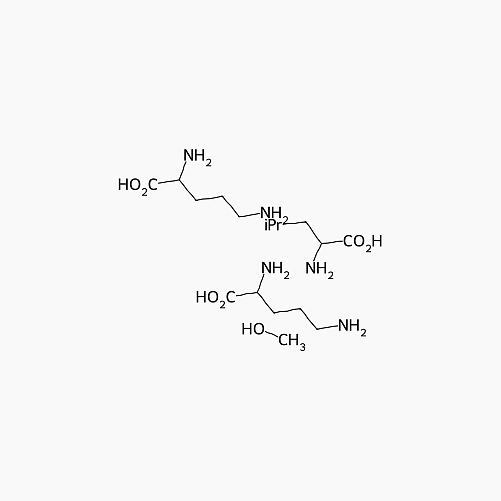 CC(C)CC(N)C(=O)O.CO.NCCCC(N)C(=O)O.NCCCC(N)C(=O)O